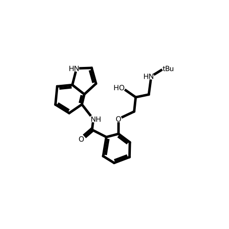 CC(C)(C)NCC(O)COc1ccccc1C(=O)Nc1cccc2[nH]ccc12